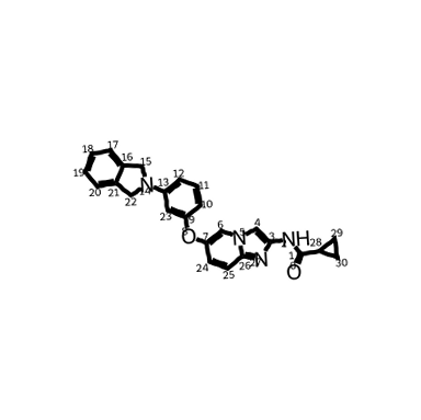 O=C(Nc1cn2cc(Oc3cccc(N4Cc5ccccc5C4)c3)ccc2n1)C1CC1